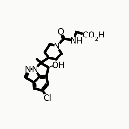 CC1(C2CCN(C(=O)NCC(=O)O)CC2)[C@H](O)c2cc(Cl)cc3cnn1c23